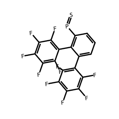 Fc1c(F)c(F)c(-c2cccc(P=S)c2-c2c(F)c(F)c(F)c(F)c2F)c(F)c1F